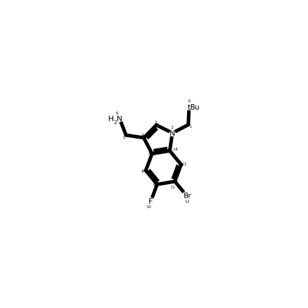 CC(C)(C)Cn1cc(CN)c2cc(F)c(Br)cc21